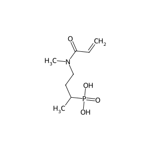 C=CC(=O)N(C)CCC(C)P(=O)(O)O